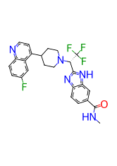 CNC(=O)c1ccc2nc([C@H](N3CCC(c4ccnc5ccc(F)cc45)CC3)C(F)(F)F)[nH]c2c1